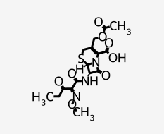 CCC(=O)C(=NOC)C(=O)N[C@@H]1C(=O)N2C(C(=O)O)=C(COC(C)=O)CS[C@@H]12